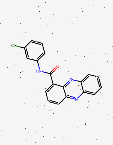 O=C(Nc1cccc(Cl)c1)c1cccc2nc3ccccc3nc12